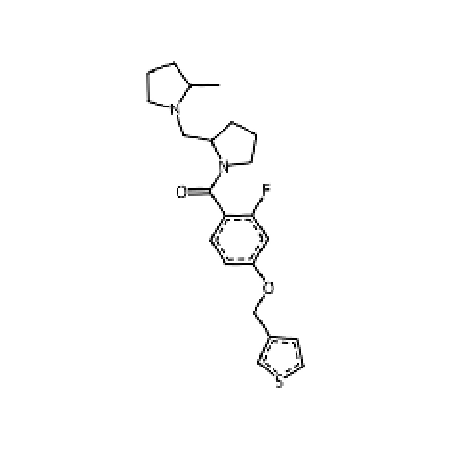 CC1CCCN1CC1CCCN1C(=O)c1ccc(OCc2ccsc2)cc1F